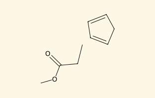 C1=CCC=C1.CCC(=O)OC